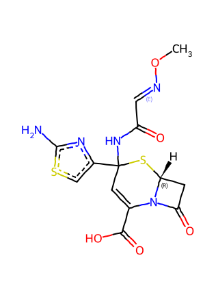 CO/N=C/C(=O)NC1(c2csc(N)n2)C=C(C(=O)O)N2C(=O)C[C@H]2S1